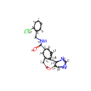 O=C(NCc1ccccc1Cl)c1ccc2c(c1)COc1cncnc1-2